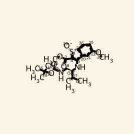 COC(=O)c1c(N[C@H](CNC(=O)OC(C)(C)C)C(C)C)c2cc(OC)ccc2[s+]1[O-]